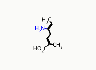 CC=C(N)CC=C(C)C(=O)O